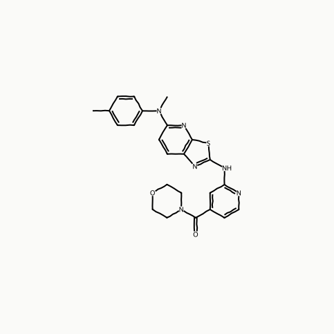 Cc1ccc(N(C)c2ccc3nc(Nc4cc(C(=O)N5CCOCC5)ccn4)sc3n2)cc1